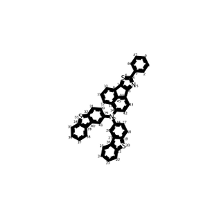 c1ccc(-c2nc3c(s2)-c2cccc4c(N(c5ccc6sc7ccccc7c6c5)c5ccc6sc7ccccc7c6c5)ccc-3c24)cc1